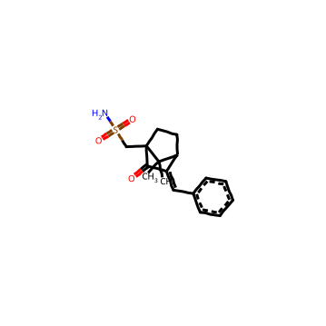 CC1(C)C2CCC1(CS(N)(=O)=O)C(=O)C2=Cc1ccccc1